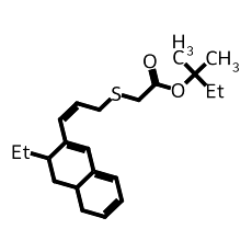 CCC1CC2CC=CC=C2C=C1/C=C\CSCC(=O)OC(C)(C)CC